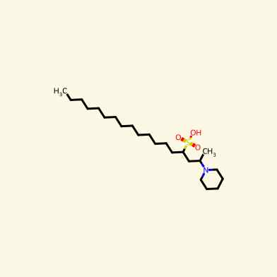 CCCCCCCCCCCCCCC(CC(C)N1CCCCC1)S(=O)(=O)O